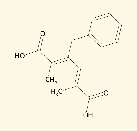 CC(=CC(Cc1ccccc1)=C(C)C(=O)O)C(=O)O